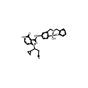 N#CCC(C1CC1)n1nc(Nc2ccc3c(c2)CN(Cc2ccccc2)S3(O)O)c2c(=O)[nH]ccc21